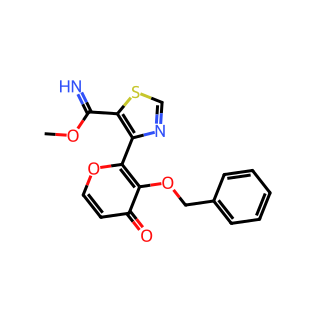 COC(=N)c1scnc1-c1occc(=O)c1OCc1ccccc1